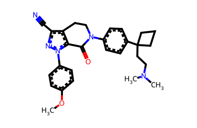 COc1ccc(-n2nc(C#N)c3c2C(=O)N(c2ccc(C4(CCN(C)C)CCC4)cc2)CC3)cc1